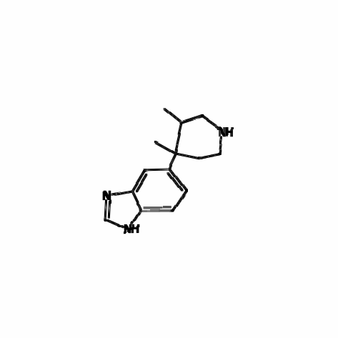 CC1CNCCC1(C)c1ccc2[nH]cnc2c1